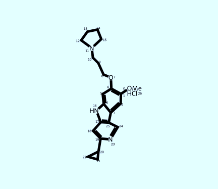 COc1cc2c(cc1OCCCN1CCCC1)[nH]c1cc(C3CC3)ncc12.Cl